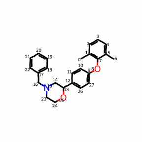 Cc1cccc(C)c1Oc1ccc(C2CN(Cc3ccccc3)CCO2)cc1